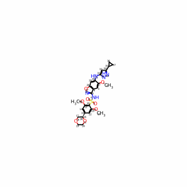 COc1cc2c(NS(=O)(=O)c3c(OC)cc([C@@H]4COCCO4)cc3OC)noc2cc1Nc1cc(C2CC2)n[nH]1